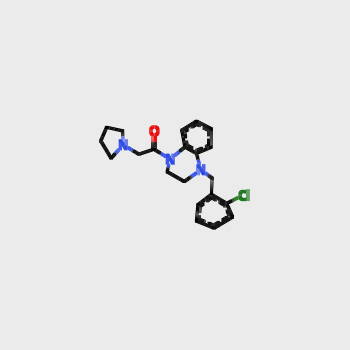 O=C(CN1CCCC1)N1CCN(Cc2ccccc2Cl)c2ccccc21